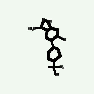 CC(O)(c1ccc(-c2cc3c(C(=O)O)n[nH]c3cc2Cl)cc1)C(F)(F)F